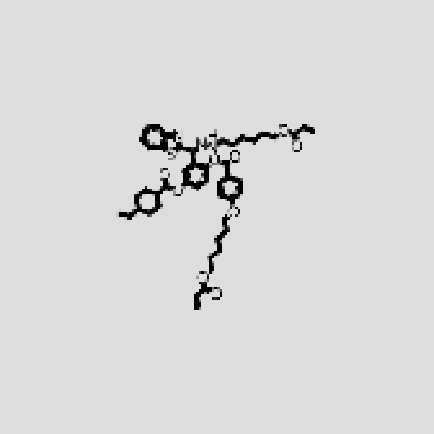 C=CC(=O)OCCCCCCNN=C(c1nc2ccccc2s1)c1cc(OC(=O)C2CCC(CC)CC2)ccc1OC(=O)c1ccc(OCCCCCCOC(=O)C=C)cc1